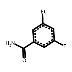 CCc1cc(F)cc(C(N)=O)c1